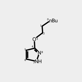 CCCCC[CH]Oc1cc[nH]n1